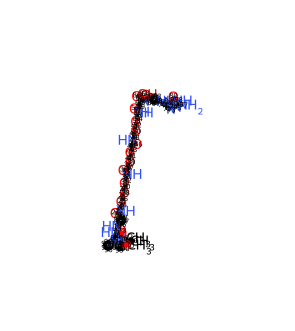 CC(C)(C)C(=O)CN1C(=O)[C@H](NC(=O)Nc2cccc(C(=O)NCCOCCOCCOCCNC(=O)CCOCCOCCC(=O)NCCOCCOCCNC(=O)CC[C@H](NC(=O)c3ccc(NCc4cnc5nc(N)[nH]c(=O)c5n4)cc3)C(=O)O)c2)CN(C2CCCCC2)c2ccccc21